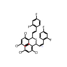 Fc1ccc(C=CC(SC(/C=C\c2ccc(F)cc2F)c2ccc(Cl)cc2Cl)c2ccc(Cl)cc2Cl)c(F)c1